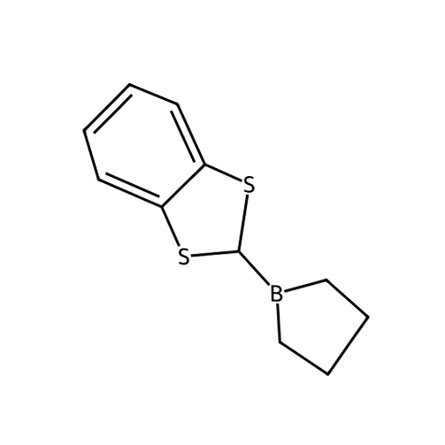 c1ccc2c(c1)SC(B1CCCC1)S2